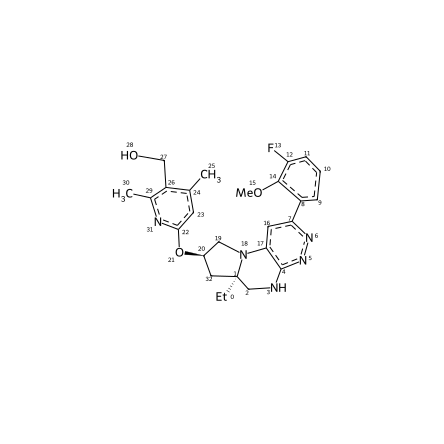 CC[C@@]12CNc3nnc(-c4cccc(F)c4OC)cc3N1C[C@H](Oc1cc(C)c(CO)c(C)n1)C2